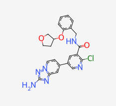 Nc1nc2cc(-c3cnc(Cl)c(C(=O)NCc4ccccc4OC4CCOC4)c3)ccn2n1